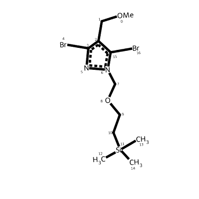 COCc1c(Br)nn(COCC[Si](C)(C)C)c1Br